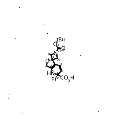 CCC1(C(=O)O)C=CC2=C(COC23CN(C(=O)OC(C)(C)C)C3)N1